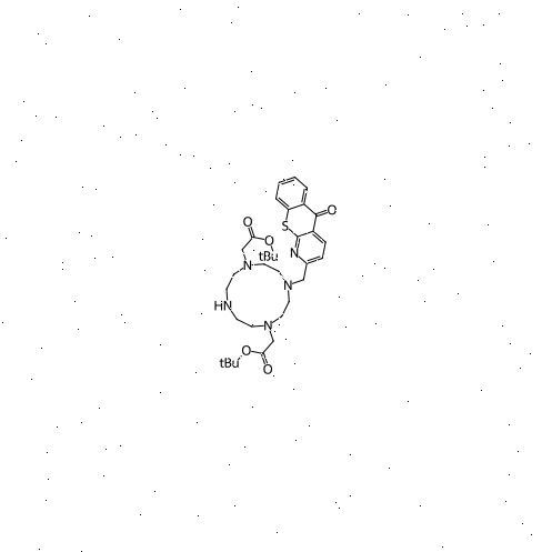 CC(C)(C)OC(=O)CN1CCNCCN(CC(=O)OC(C)(C)C)CCN(Cc2ccc3c(=O)c4ccccc4sc3n2)CC1